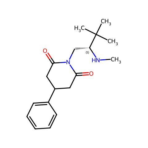 CN[C@H](CN1C(=O)CC(c2ccccc2)CC1=O)C(C)(C)C